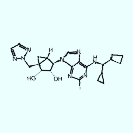 O[C@H]1[C@H](n2cnc3c(N[C@@H](C4CCC4)C4CC4)nc(I)nc32)[C@H]2C[C@@]2(Cn2nccn2)[C@H]1O